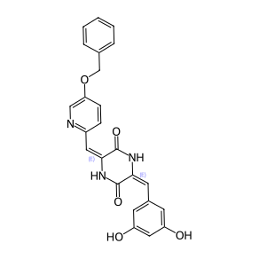 O=c1[nH]/c(=C/c2ccc(OCc3ccccc3)cn2)c(=O)[nH]/c1=C/c1cc(O)cc(O)c1